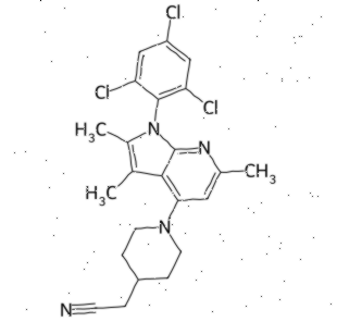 Cc1cc(N2CCC(CC#N)CC2)c2c(C)c(C)n(-c3c(Cl)cc(Cl)cc3Cl)c2n1